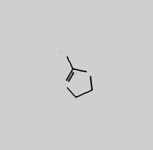 BrC1=N[C]CO1